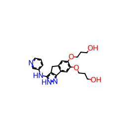 OCCCOc1cc2c(cc1OCCCO)-c1n[nH]c(Nc3cccnc3)c1C2